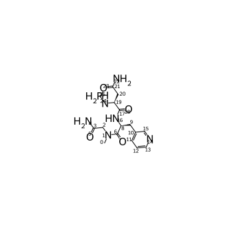 CN(CC(N)=O)C(=O)[C@H](Cc1cccnc1)NC(=O)[C@H](CC(N)=O)NP